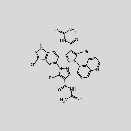 CCCCc1c(C(=O)NC(=N)N)cnn1-c1cccc2ncccc12.CCc1c(C(=O)NC(=N)N)cnn1-c1ccc2[nH]nc(Cl)c2c1